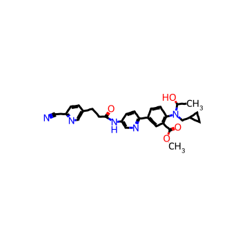 COC(=O)c1cc(-c2ccc(NC(=O)CCc3ccc(C#N)nc3)cn2)ccc1N(CC1CC1)C(C)O